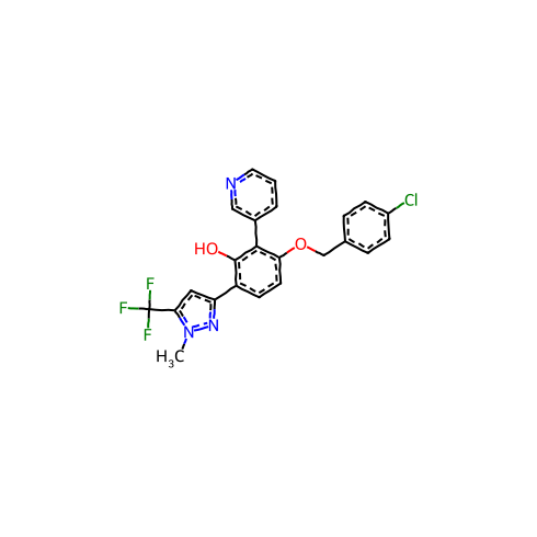 Cn1nc(-c2ccc(OCc3ccc(Cl)cc3)c(-c3cccnc3)c2O)cc1C(F)(F)F